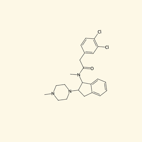 CN1CCN(C2Cc3ccccc3C2N(C)C(=O)Cc2ccc(Cl)c(Cl)c2)CC1